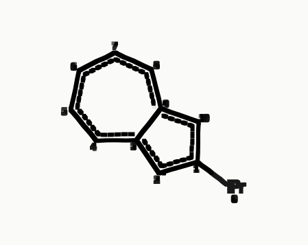 CC(C)c1[c]c2cccccc-2c1